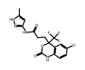 Cc1cc(NC(=O)CCC2(C(F)(F)F)OC(=O)Nc3ccc(Cl)cc32)n[nH]1